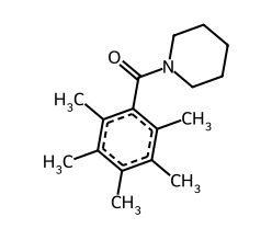 Cc1c(C)c(C)c(C(=O)N2CCCCC2)c(C)c1C